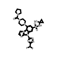 N#CC1(NS(=O)(=O)c2cc(N3CCN(C(=O)N4CCCC4)CC3)c3c(c2)n(-c2nnc(C(F)F)s2)c2nccn32)CC1